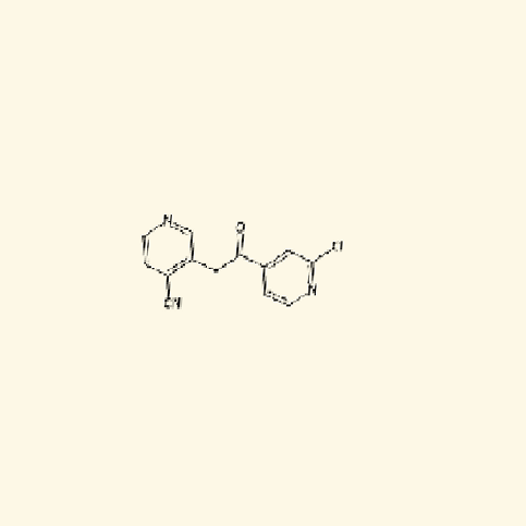 N#Cc1ccncc1CC(=O)c1ccnc(Cl)c1